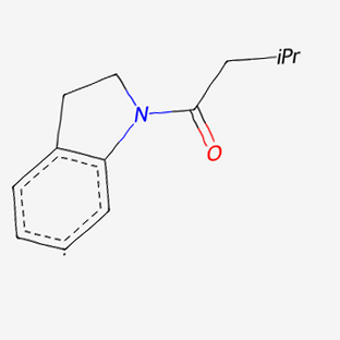 CC(C)CC(=O)N1CCc2cc[c]cc21